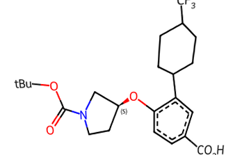 CC(C)(C)OC(=O)N1CC[C@H](Oc2ccc(C(=O)O)cc2C2CCC(C(F)(F)F)CC2)C1